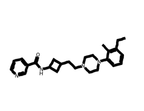 CCc1cccc(N2CCN(CCC3CC(NC(=O)c4cccnc4)C3)CC2)c1C